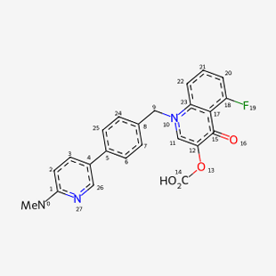 CNc1ccc(-c2ccc(Cn3cc(OC(=O)O)c(=O)c4c(F)cccc43)cc2)cn1